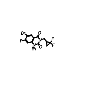 CC(C)n1c(=O)n(CC2CC2(F)F)c(=O)c2cc(Br)c(F)cc21